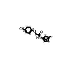 [CH2]C12CCC(NC(=O)COc3ccc(Cl)cc3)(C1)C2